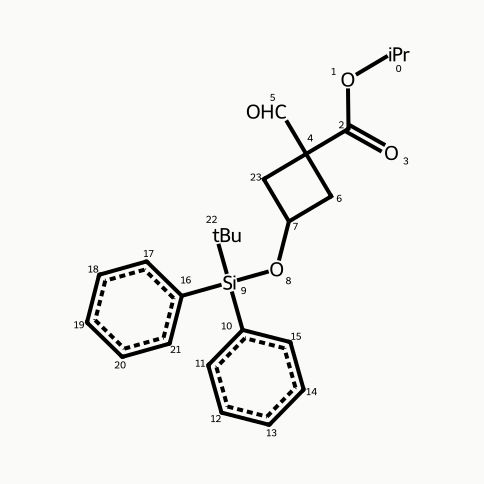 CC(C)OC(=O)C1(C=O)CC(O[Si](c2ccccc2)(c2ccccc2)C(C)(C)C)C1